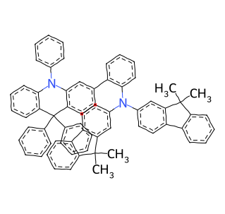 CC1(C)c2ccccc2-c2ccc(N(c3ccc4c(c3)C(C)(C)c3ccccc3-4)c3ccccc3-c3ccc4c(c3)N(c3ccccc3)c3ccccc3C4(c3ccccc3)c3ccccc3)cc21